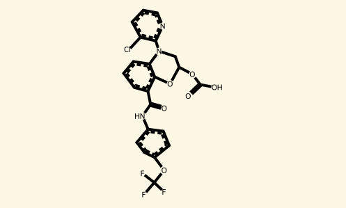 O=C(O)OC1CN(c2ncccc2Cl)c2cccc(C(=O)Nc3ccc(OC(F)(F)F)cc3)c2O1